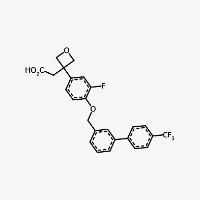 O=C(O)CC1(c2ccc(OCc3cccc(-c4ccc(C(F)(F)F)cc4)c3)c(F)c2)COC1